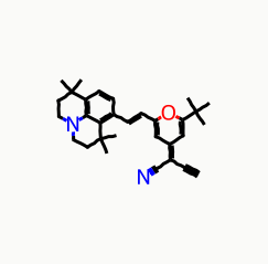 C#C/C(C#N)=C1C=C(/C=C/c2ccc3c4c2C(C)(C)CCN4CCC3(C)C)OC(C(C)(C)C)=C/1